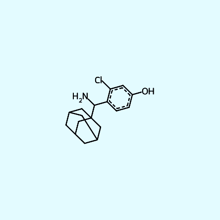 NC(c1ccc(O)cc1Cl)C12CC3CC(CC(C3)C1)C2